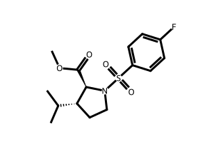 COC(=O)[C@@H]1[C@@H](C(C)C)CCN1S(=O)(=O)c1ccc(F)cc1